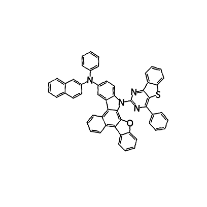 c1ccc(-c2nc(-n3c4ccc(N(c5ccccc5)c5ccc6ccccc6c5)cc4c4c5ccccc5c5c6ccccc6oc5c43)nc3c2sc2ccccc23)cc1